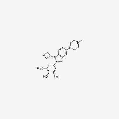 COc1cc(-c2nc3cc(N4CCN(C)CC4)ccc3n2C2COC2)cc(O)c1O